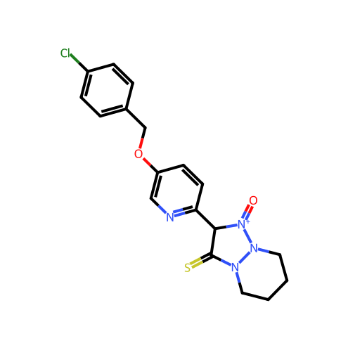 O=[N+]1C(c2ccc(OCc3ccc(Cl)cc3)cn2)C(=S)N2CCCCN21